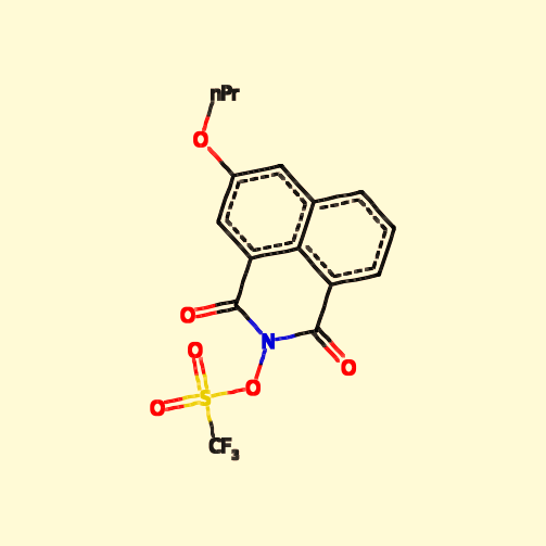 CCCOc1cc2c3c(cccc3c1)C(=O)N(OS(=O)(=O)C(F)(F)F)C2=O